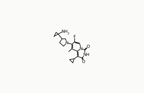 Cc1c(N2CCC(C3(N)CC3)C2)c(F)cn2c(=O)[nH]c(=O)c(C3CC3)c12